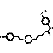 COc1ccc(NC(=O)SCCCN2CCN(CCc3ccc(Cl)cc3)CC2)cc1